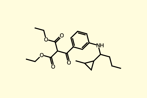 CCCC(Nc1cccc(C(=O)C(C(=O)OCC)C(=O)OCC)c1)C1CC1C